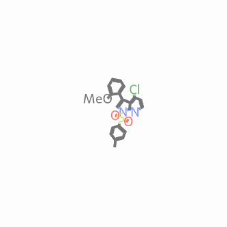 COc1ccccc1-c1cn(S(=O)(=O)c2ccc(C)cc2)c2nccc(Cl)c12